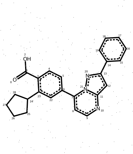 O=C(O)c1ccc(-c2ccnc3cc(-c4ccccc4)nn23)cc1C1CCCC1